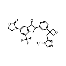 Cn1cnnc1CC1(c2cccc(N3Cc4c(cc(N5CCOC5=O)cc4C(F)(F)F)C3=O)c2)COC1